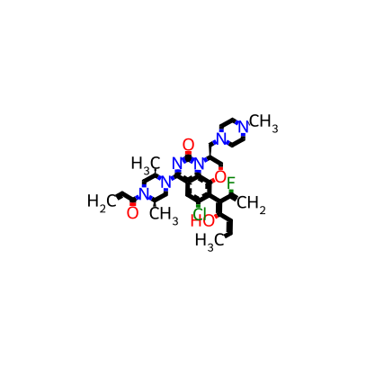 C=CC(=O)N1C[C@H](C)N(c2nc(=O)n3c4c(c(/C(C(=C)F)=C(O)/C=C\C)c(Cl)cc24)OC[C@@H]3CN2CCN(C)CC2)C[C@H]1C